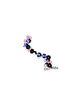 CCOc1cc([C@@H](CC#N)N2C(=O)c3cccc(N4CCN([C@@H]5CCN(CCc6ccc(Oc7cc8c(cc7F)c(N7CCC(=O)NC7=O)nn8C)cc6)CC5(F)F)CC4)c3C2=O)ccc1OC